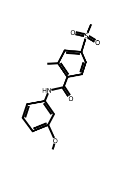 COc1cccc(NC(=O)c2ccc(S(C)(=O)=O)cc2C)c1